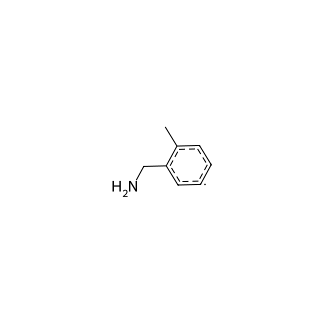 Cc1cc[c]cc1CN